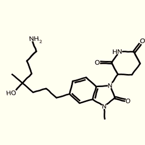 Cn1c(=O)n(C2CCC(=O)NC2=O)c2ccc(CCCC(C)(O)CCCN)cc21